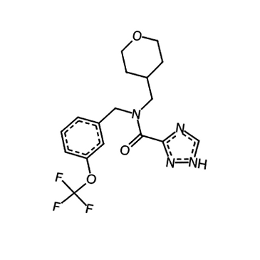 O=C(c1nc[nH]n1)N(Cc1cccc(OC(F)(F)F)c1)CC1CCOCC1